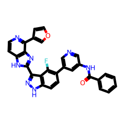 O=C(Nc1cncc(-c2ccc3[nH]nc(-c4nc5c(-c6ccoc6)nccc5[nH]4)c3c2F)c1)c1ccccc1